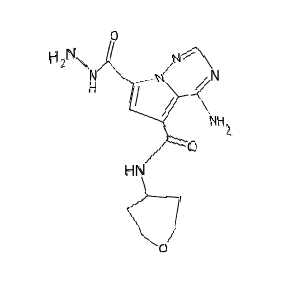 NNC(=O)c1cc(C(=O)NC2CCOCC2)c2c(N)ncnn12